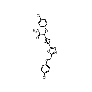 NC(=O)C(Oc1ccc(Cl)cc1)C12CC(c3nnc(COc4ccc(Cl)cc4)o3)(C1)C2